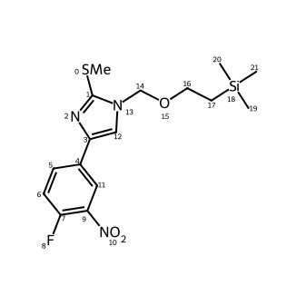 CSc1nc(-c2ccc(F)c([N+](=O)[O-])c2)cn1COCC[Si](C)(C)C